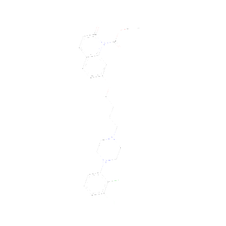 CCCCCOC(=O)n1c(=O)ccc2ccc(OCCCCN3CCN(c4cccc(Cl)c4Cl)CC3)cc21